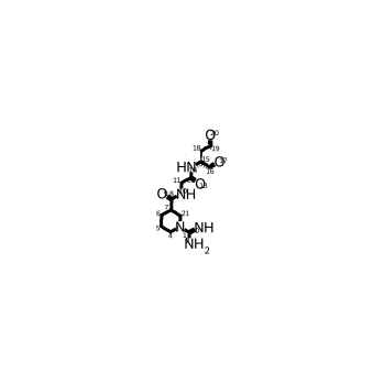 N=C(N)N1CCCC(C(=O)NCC(=O)N[C@H]([C]=O)C[C]=O)C1